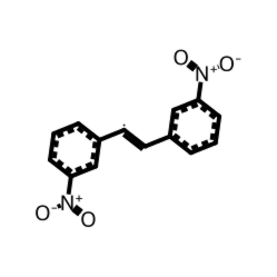 O=[N+]([O-])c1cccc([C]=Cc2cccc([N+](=O)[O-])c2)c1